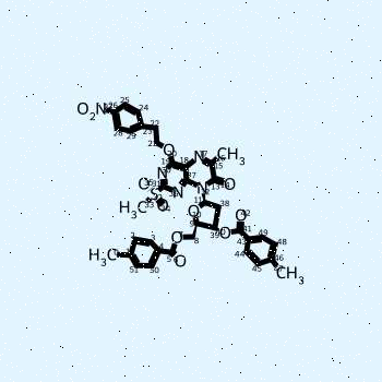 Cc1ccc(C(=O)OC[C@H]2O[C@@H](n3c(=O)c(C)nc4c(OCCc5ccc([N+](=O)[O-])cc5)nc(S(C)(=O)=O)nc43)C[C@@H]2OC(=O)c2ccc(C)cc2)cc1